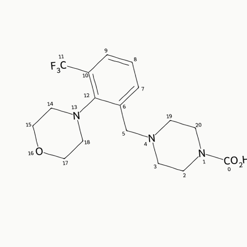 O=C(O)N1CCN(Cc2cccc(C(F)(F)F)c2N2CCOCC2)CC1